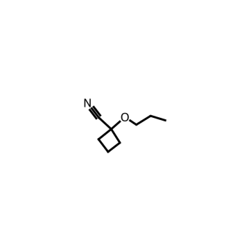 CCCOC1(C#N)CCC1